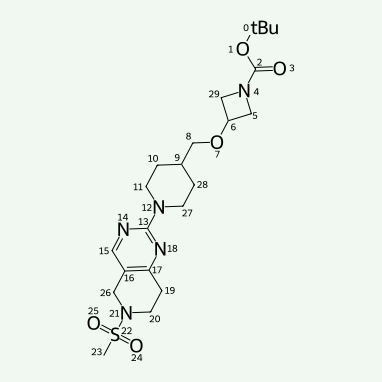 CC(C)(C)OC(=O)N1CC(OCC2CCN(c3ncc4c(n3)CCN(S(C)(=O)=O)C4)CC2)C1